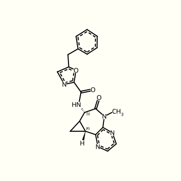 CN1C(=O)[C@@H](NC(=O)c2ncc(Cc3ccccc3)o2)C2C[C@H]2c2nccnc21